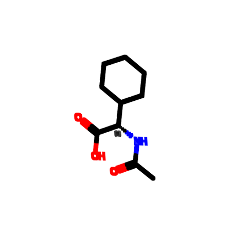 CC(=O)N[C@H](C(=O)O)C1CCCCC1